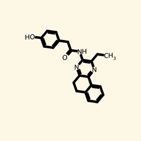 CCc1nc2c(nc1NC(=O)Cc1ccc(O)cc1)CCc1ccccc1-2